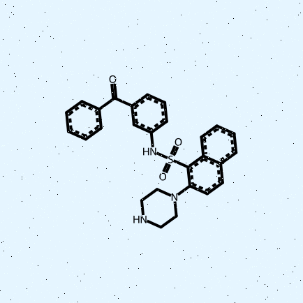 O=C(c1ccccc1)c1cccc(NS(=O)(=O)c2c(N3CCNCC3)ccc3ccccc23)c1